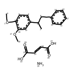 COc1ccc(C(C)Cc2ccccc2)cc1OC.N.O=C(O)C=CC(=O)O